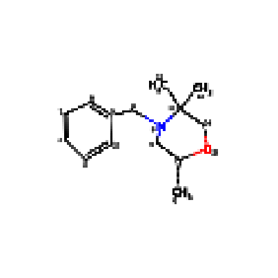 CC1CN(Cc2ccccc2)C(C)(C)CO1